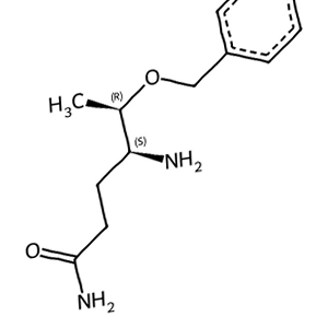 C[C@@H](OCc1ccccc1)[C@@H](N)CCC(N)=O